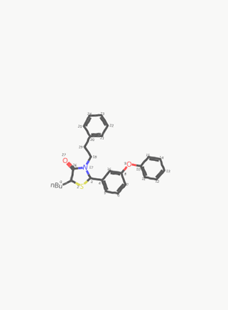 CCCCC1SC(c2cccc(Oc3ccccc3)c2)N(CCc2ccccc2)C1=O